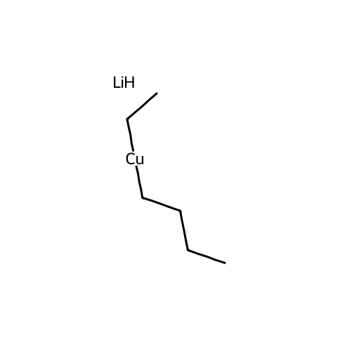 CCC[CH2][Cu][CH2]C.[LiH]